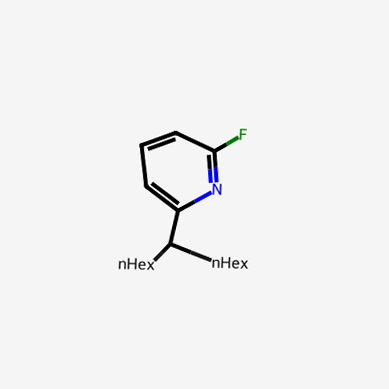 CCCCCCC(CCCCCC)c1cccc(F)n1